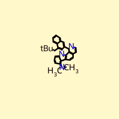 CN(C)c1cccc2c1c1ccc3ccnc4c5cc6ccccc6c(CC(C)(C)C)c5n2c1c34